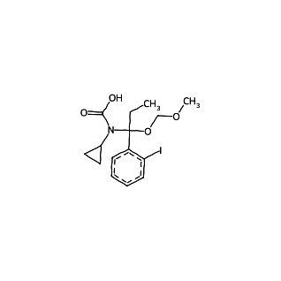 CCC(OCOC)(c1ccccc1I)N(C(=O)O)C1CC1